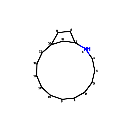 C1CCCCCN[C]2CCC(CCCCC1)C2